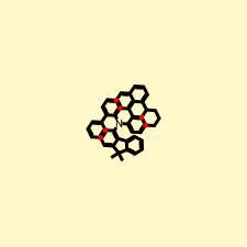 CC1(C)c2ccccc2-c2c(N(c3ccccc3-c3ccccc3)c3ccccc3-c3cccc4cccc(C5CCCCC5)c34)cccc21